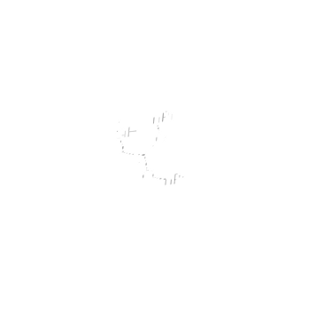 CCCOC(C[SiH3])OCCC